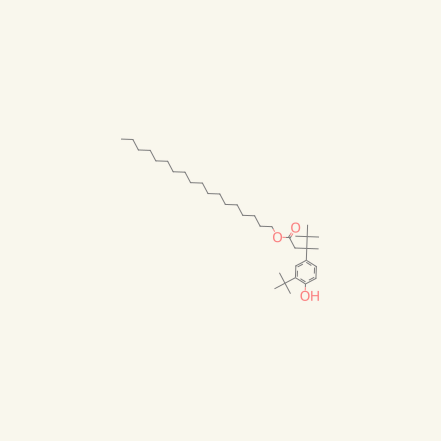 CCCCCCCCCCCCCCCCCCOC(=O)CC(C)(c1ccc(O)c(C(C)(C)C)c1)C(C)(C)C